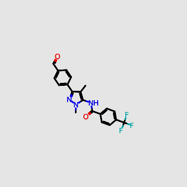 Cc1c(-c2ccc(C=O)cc2)nn(C)c1NC(=O)c1ccc(C(F)(F)F)cc1